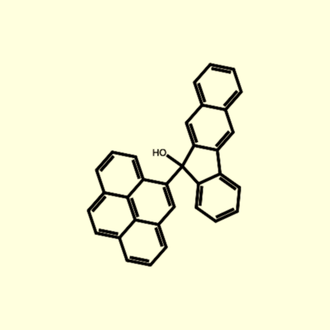 OC1(c2cc3cccc4ccc5cccc2c5c43)c2ccccc2-c2cc3ccccc3cc21